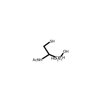 CC(=O)NC(CS)C(=O)O.O=C(O)O